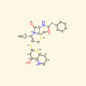 O=C(Cc1ccccc1)NC1C(=O)N2C(C(=O)O)=C(Sc3cc(=O)c4ncccc4s3)CS[C@H]12